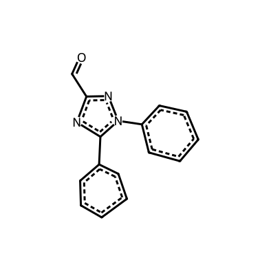 O=Cc1nc(-c2ccccc2)n(-c2ccccc2)n1